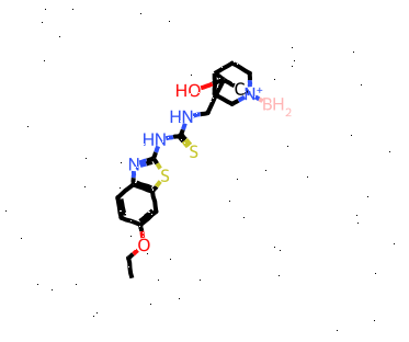 B[N+]12CCC(CC1)C(O)(CNC(=S)Nc1nc3ccc(OCC)cc3s1)C2